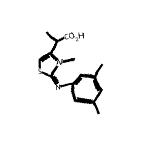 Cc1cc(C)cc(N=c2scc(C(C)C(=O)O)n2C)c1